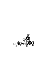 Cn1cnc2c(F)c(Nc3ccc(Br)cc3Cl)c(C(=O)NOCCOS(N)(=O)=O)cc21